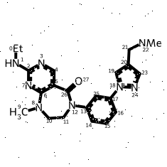 CCNc1ncc2c(n1)N(C)CCN(c1cccc(-n3cc(CNC)cn3)c1)C2=O